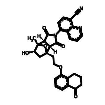 C[C@@]12O[C@@](CCOc3cccc4c3CCCC4=O)(C[C@H]1O)[C@@H]1C(=O)N(c3ccc(C#N)c4ncccc34)C(=O)[C@@H]12